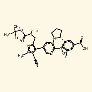 CN(Cc1nn(C)c(C#N)c1-c1cnc([N+](=O)[O-])c(N2CCC[C@@H]2c2cc(F)cc(C(=O)O)c2)c1)C(=O)OC(C)(C)C